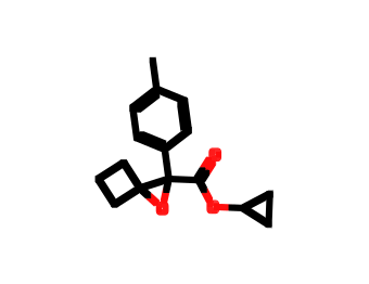 Cc1ccc(C2(C(=O)OC3CC3)OC23CCC3)cc1